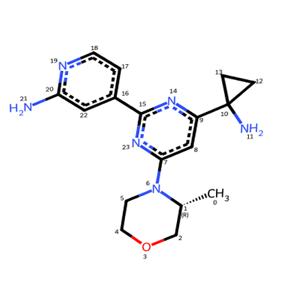 C[C@@H]1COCCN1c1cc(C2(N)CC2)nc(-c2ccnc(N)c2)n1